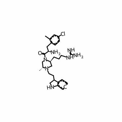 Cc1cc(Cl)ccc1C[C@@H](N)C(=O)N1C[C@@H](C)N(CCC2CNc3ccccc32)C[C@@H]1CCCNC(=N)N